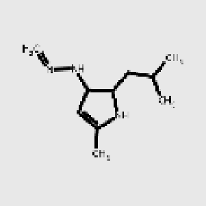 C=NNC1C=C(C)NC1CC(C)C